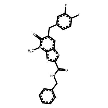 Cn1c(=O)c(Cc2ccc(F)c(F)c2)cc2nc(C(=O)NCc3ccccc3)sc21